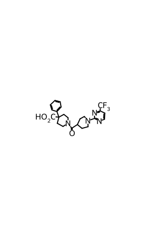 O=C(C1CCN(c2nccc(C(F)(F)F)n2)CC1)N1CCC(C(=O)O)(c2ccccc2)CC1